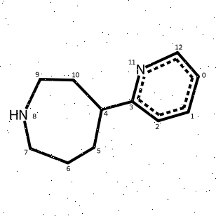 c1ccc(C2CCCNCC2)nc1